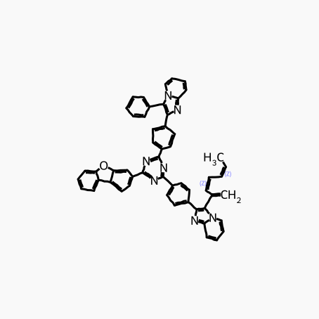 C=C(/C=C\C=C/C)c1c(-c2ccc(-c3nc(-c4ccc(-c5nc6ccccn6c5-c5ccccc5)cc4)nc(-c4ccc5c(c4)oc4ccccc45)n3)cc2)nc2ccccn12